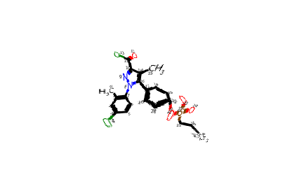 Cc1cc(Cl)ccc1-n1nc(C(=O)Cl)c(C)c1-c1ccc(OS(=O)(=O)CCC(F)(F)F)cc1